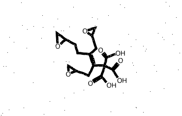 O=C(O)C(C(=O)O)(C(=O)O)C(CC1CO1)=C(CCC1CO1)CC1CO1